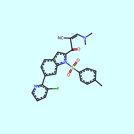 Cc1ccc(S(=O)(=O)n2c(C(=O)/C(C#N)=C\N(C)C)cc3ccc(-c4ncccc4F)cc32)cc1